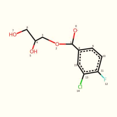 [O]C(OCC(O)CO)c1ccc(F)c(Cl)c1